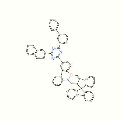 C1=C2C(=CN3B1c1ccc(-c4nc(-c5cccc(-c6ccccc6)c5)nc(-c5ccc6ccccc6c5)n4)cc1-c1ccccc13)C1(c3ccccc32)c2ccccc2-c2ccccc21